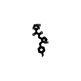 O=C(Cc1cc[nH]c1Cc1ccc(F)cc1)C(=O)c1nc[nH]n1